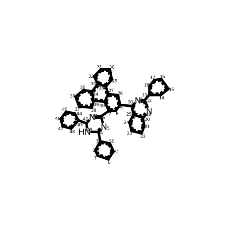 c1ccc(C2=NC(c3cc(-c4nc(-c5ccccc5)nc5ccccc45)cc4c5ccccc5c5ccccc5c34)=NC(c3ccccc3)N2)cc1